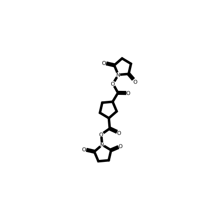 O=C(ON1C(=O)CCC1=O)C1CCC(C(=O)ON2C(=O)CCC2=O)C1